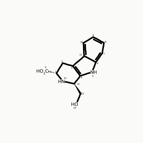 O=C(O)[C@@H]1Cc2c([nH]c3ccccc23)[C@@H](CO)N1